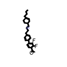 CCCCC1=CCC(/C=C/CCc2ccc(-c3ccc(C4CO4)c(F)c3F)cc2)CC1